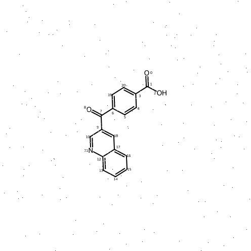 O=C(O)c1ccc(C(=O)c2cnc3ccccc3c2)cc1